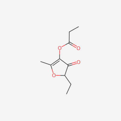 CCC(=O)OC1=C(C)OC(CC)C1=O